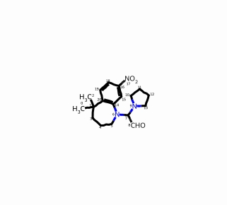 CC1(C)CCCN(C(C=O)N2CCCC2)c2cc([N+](=O)[O-])ccc21